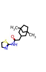 CC12CCC(C)(CC(CC(=O)NC3=NCCS3)C1)C2